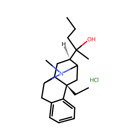 CCCC(C)(O)[C@@H]1CC2C3Cc4ccccc4[C@@]2(CC)CC1N3C.Cl